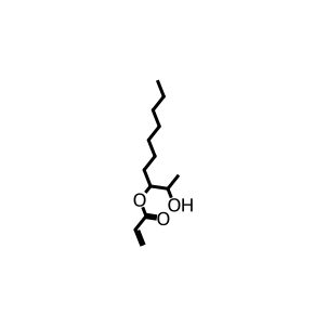 C=CC(=O)OC(CCCCCCC)C(C)O